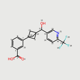 O=C(O)c1cccc(C23CC(C(O)c4ccc(C(F)(F)F)nc4)(C2)C3)c1